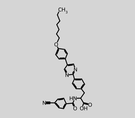 CCCCCCCOc1ccc(-c2cnc(-c3ccc(CC(NC(=O)c4ccc(C#N)cc4)C(=O)O)cc3)nc2)cc1